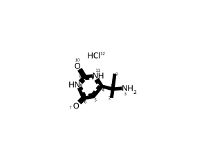 CC(C)(N)c1cc(=O)[nH]c(=O)[nH]1.Cl